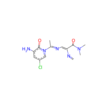 C=N/C(=C\N=C(/C)n1cc(Cl)cc(N)c1=O)C(=O)N(C)C